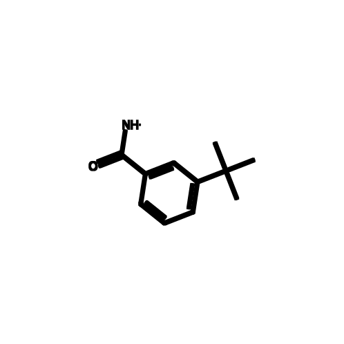 CC(C)(C)c1cccc(C([NH])=O)c1